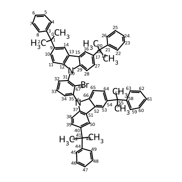 CC(C)(c1ccccc1)c1ccc2c(c1)c1cc(C(C)(C)c3ccccc3)ccc1n2-c1cccc(-n2c3ccc(C(C)(C)c4ccccc4)cc3c3cc(C(C)(C)c4ccccc4)ccc32)c1Br